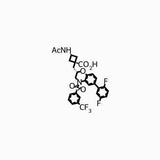 CC(=O)N[C@H]1C[C@](C[C@H]2CN(S(=O)(=O)c3cccc(C(F)(F)F)c3)c3cc(-c4cc(F)ccc4F)ccc3O2)(C(=O)O)C1